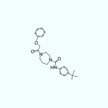 CC(C)(C)c1ccc(NC(=O)N2CCCN(C(=O)COc3ccccc3)CC2)cc1